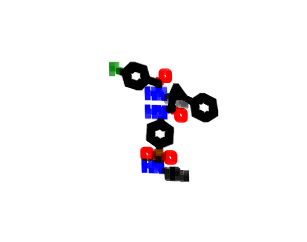 CC(C)(C)NS(=O)(=O)c1ccc(NC(=O)[C@@]2(NC(=O)c3ccc(F)cc3)C[C@H]2c2ccccc2)cc1